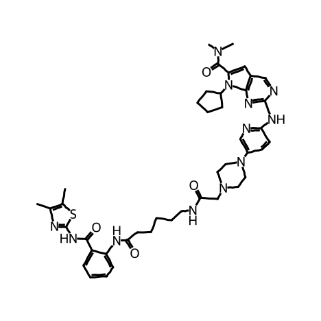 Cc1nc(NC(=O)c2ccccc2NC(=O)CCCCCNC(=O)CN2CCN(c3ccc(Nc4ncc5cc(C(=O)N(C)C)n(C6CCCC6)c5n4)nc3)CC2)sc1C